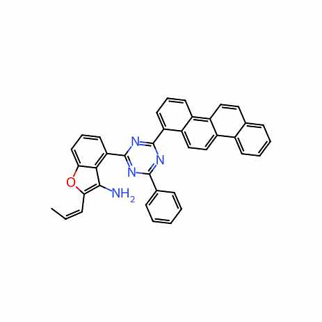 C/C=C\c1oc2cccc(-c3nc(-c4ccccc4)nc(-c4cccc5c4ccc4c6ccccc6ccc54)n3)c2c1N